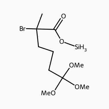 COC(CCCC(C)(Br)C(=O)O[SiH3])(OC)OC